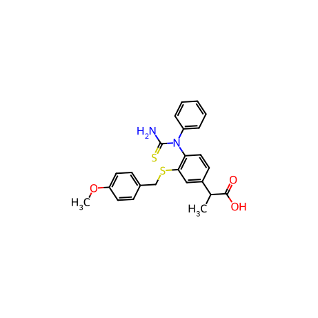 COc1ccc(CSc2cc(C(C)C(=O)O)ccc2N(C(N)=S)c2ccccc2)cc1